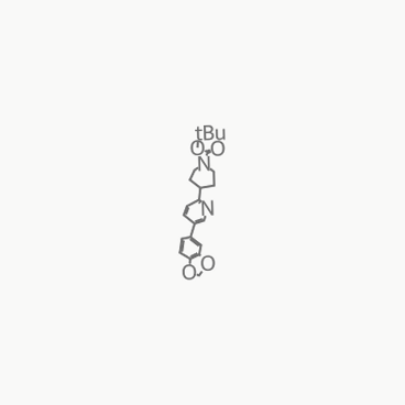 CC(C)(C)OC(=O)N1CCC(c2ccc(-c3ccc4c(c3)OCO4)cn2)CC1